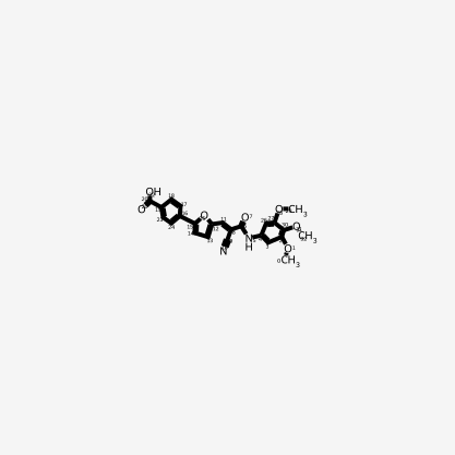 COc1cc(NC(=O)/C(C#N)=C/c2ccc(-c3ccc(C(=O)O)cc3)o2)cc(OC)c1OC